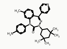 Cc1ccc2c(c1)N(c1ccc(N)cc1)C(=O)N(C1CC(C)(C)CC(C)(C)C1)N=C2c1ccncc1